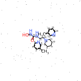 Cc1cccnc1[C@H]1CCC[C@@H](c2ncccc2C)N1CCNC(=O)NO